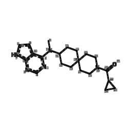 CN(c1ncnc2[nH]ccc12)C1CCC2(CC1)CCN(C(=O)C1CC1)CC2